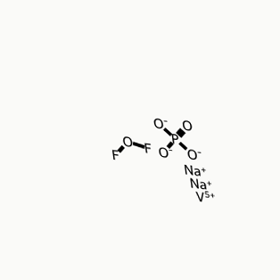 FOF.O=P([O-])([O-])[O-].[Na+].[Na+].[V+5]